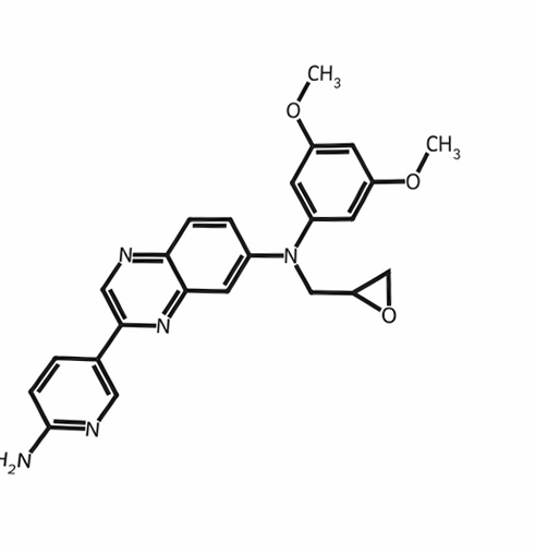 COc1cc(OC)cc(N(CC2CO2)c2ccc3ncc(-c4ccc(N)nc4)nc3c2)c1